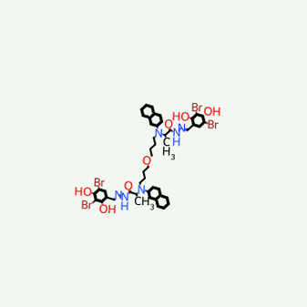 CC(C(=O)N/N=C/c1cc(Br)c(O)c(Br)c1O)N(CCCCOCCCCN(c1ccc2ccccc2c1)C(C)C(=O)N/N=C/c1cc(Br)c(O)c(Br)c1O)c1ccc2ccccc2c1